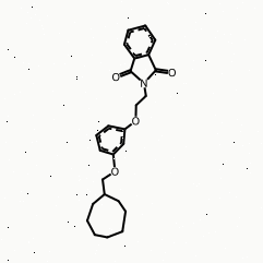 O=C1c2ccccc2C(=O)N1CCOc1cccc(OCC2CCCCCCC2)c1